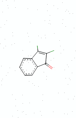 O=C1C(F)=C(F)c2ccccc21